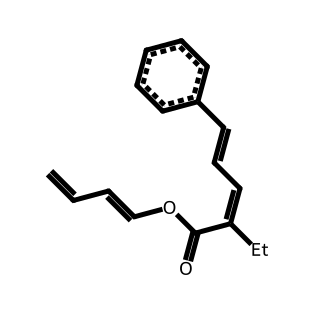 C=CC=COC(=O)C(=CC=Cc1ccccc1)CC